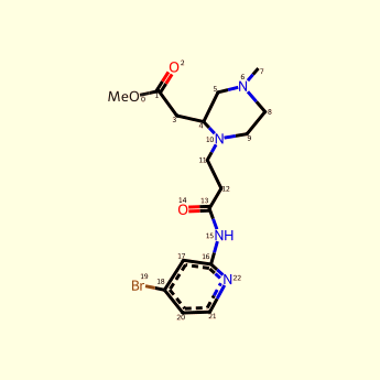 COC(=O)CC1CN(C)CCN1CCC(=O)Nc1cc(Br)ccn1